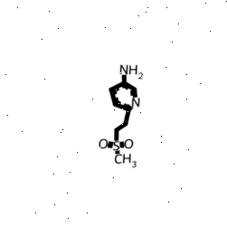 CS(=O)(=O)CCc1ccc(N)cn1